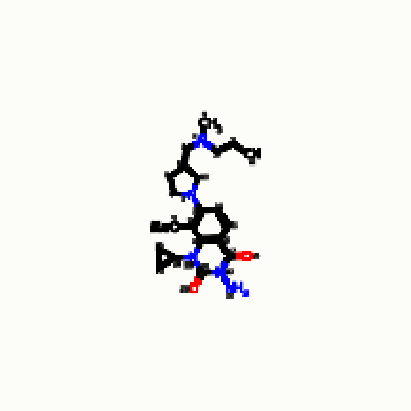 COc1c(N2CCC(CN(C)CCC#N)C2)ccc2c(=O)n(N)c(=O)n(C3CC3)c12